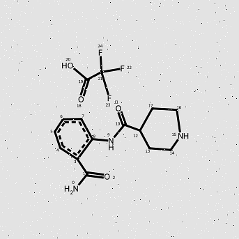 NC(=O)c1ccccc1NC(=O)C1CCNCC1.O=C(O)C(F)(F)F